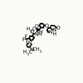 CN(C)[C@H]1CCCN(c2ccc(C(=O)N[C@H]3[C@@H]4c5cc(Oc6ccnc7c6CCC(=O)N7)ccc5OC34C)cc2C(F)(F)F)C1